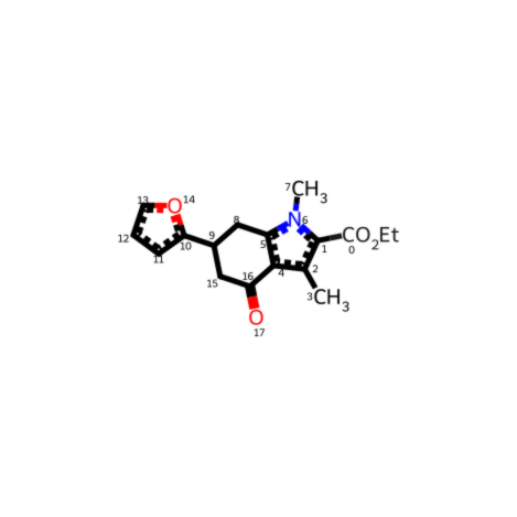 CCOC(=O)c1c(C)c2c(n1C)CC(c1ccco1)CC2=O